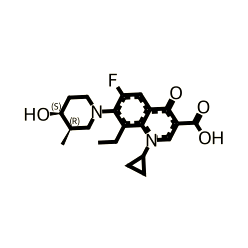 CCc1c(N2CC[C@H](O)[C@H](C)C2)c(F)cc2c(=O)c(C(=O)O)cn(C3CC3)c12